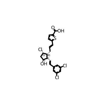 O=C(O)c1ccc(C=CC[C@@H]2[C@H](C=Cc3cc(Cl)cc(Cl)c3)[C@H](O)C[C@@H]2Cl)s1